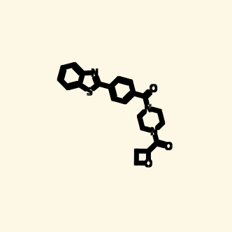 O=C(c1ccc(-c2nc3ccccc3s2)cc1)N1CCN(C(=O)C2CCO2)CC1